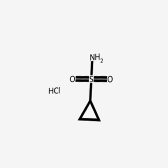 Cl.NS(=O)(=O)C1CC1